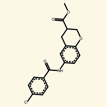 COC(=O)C1COc2ccc(NC(=O)c3ccc(Cl)cc3)cc2C1